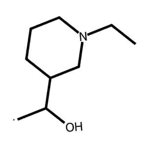 [CH2]C(O)C1CCCN(CC)C1